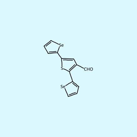 O=Cc1cc(-c2ccc[se]2)sc1-c1ccc[se]1